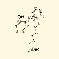 CCCCCCCCCCCCCCCCc1cccnc1.O=C(O)c1ccccc1O